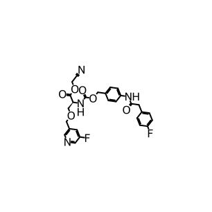 N#CCOC(=O)[C@H](COCc1cncc(F)c1)NC(=O)OCc1ccc(NC(=O)Cc2ccc(F)cc2)cc1